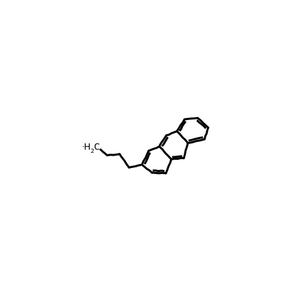 [CH2]CCCc1ccc2cc3ccccc3cc2c1